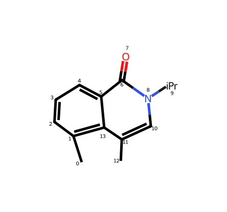 Cc1cccc2c(=O)n(C(C)C)cc(C)c12